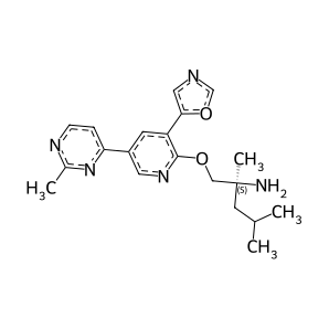 Cc1nccc(-c2cnc(OC[C@@](C)(N)CC(C)C)c(-c3cnco3)c2)n1